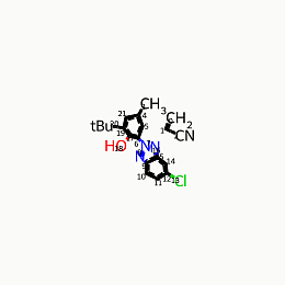 C=CC#N.Cc1cc(-n2nc3ccc(Cl)cc3n2)c(O)c(C(C)(C)C)c1